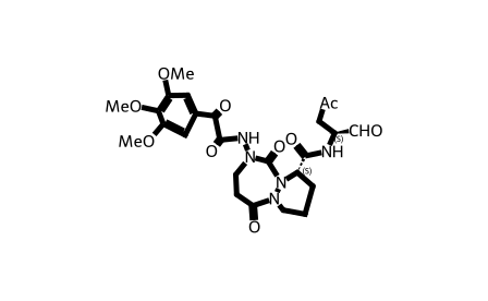 COc1cc(C(=O)C(=O)NN2CCC(=O)N3CCC[C@@H](C(=O)N[C@H](C=O)CC(C)=O)N3C2=O)cc(OC)c1OC